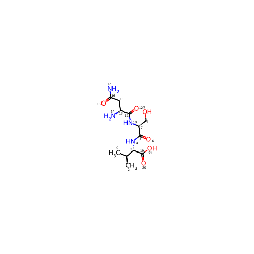 CC(C)[C@H](NC(=O)[C@H](CO)NC(=O)[C@@H](N)CC(N)=O)C(=O)O